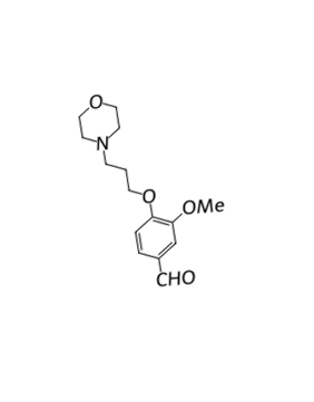 COc1cc(C=O)ccc1OCCCN1CCOCC1